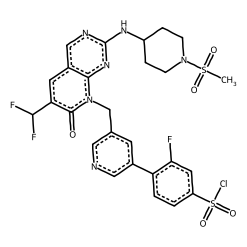 CS(=O)(=O)N1CCC(Nc2ncc3cc(C(F)F)c(=O)n(Cc4cncc(-c5ccc(S(=O)(=O)Cl)cc5F)c4)c3n2)CC1